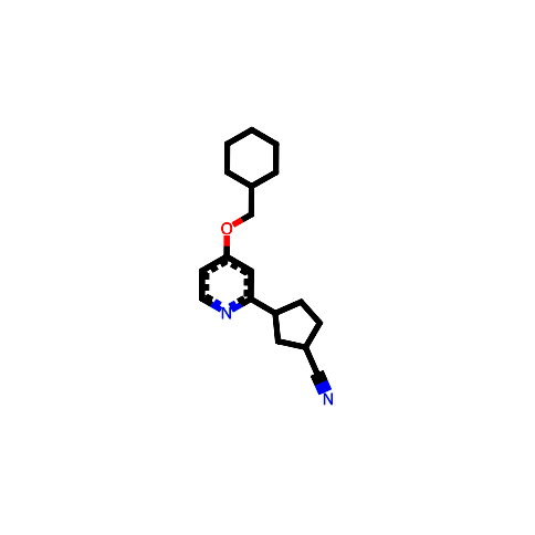 N#CC1CCC(c2cc(OCC3CCCCC3)ccn2)C1